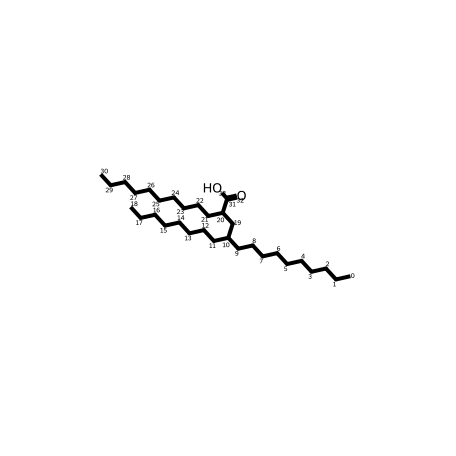 CCCCCCCCCCC(CCCCCCCC)CC(CCCCCCCCCC)C(=O)O